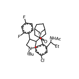 CCC(NC(C)=O)c1cc(Cl)ccc1C1CC2CCC(C1)N2C(=O)C1CN(C(C)(C)C)CC1c1ccc(F)cc1F